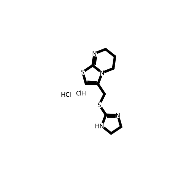 C1=C(CSC2=NCCN2)N2CCCN=C2S1.Cl.Cl